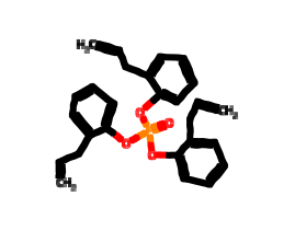 C=CCc1ccccc1OP(=O)(Oc1ccccc1CC=C)Oc1ccccc1CC=C